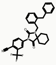 N#Cc1ccc(N2C(=O)N(Cc3ccccc3Cc3ccccc3)C3(CCCCC3)C2=O)cc1C(F)(F)F